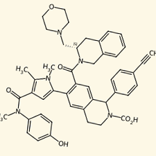 C#Cc1ccc(C2c3cc(C(=O)N4Cc5ccccc5C[C@H]4CN4CCOCC4)c(-c4cc(C(=O)N(C)c5ccc(O)cc5)c(C)n4C)cc3CCN2C(=O)O)cc1